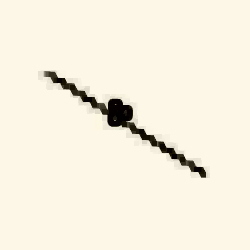 CCCCC=CCCCCCCCC(=O)OC(=O)CCCCCCCCCCCCCCCCC